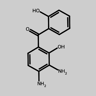 Nc1ccc(C(=O)c2ccccc2O)c(O)c1N